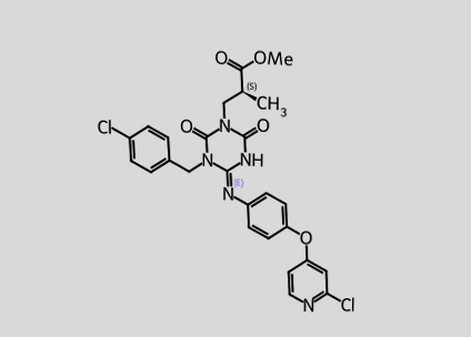 COC(=O)[C@@H](C)Cn1c(=O)[nH]/c(=N\c2ccc(Oc3ccnc(Cl)c3)cc2)n(Cc2ccc(Cl)cc2)c1=O